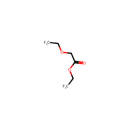 O=C(COCC(F)(F)F)OCC(F)(F)F